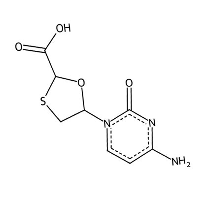 Nc1ccn(C2CSC(C(=O)O)O2)c(=O)n1